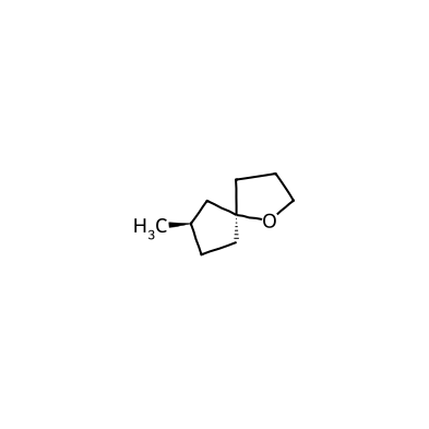 C[C@@H]1CC[C@@]2(CCCO2)C1